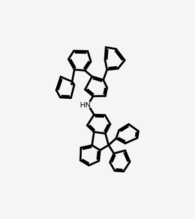 c1ccc(-c2ccccc2-c2cc(Nc3ccc4c(c3)-c3ccccc3C4(c3ccccc3)c3ccccc3)ccc2-c2ccccc2)cc1